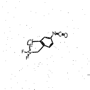 O=C=Nc1ccc(CS(F)(F)F)c(Cl)c1